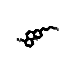 Cc1cccc(C)c1/C=C\c1cccc(/C=C/CN)c1